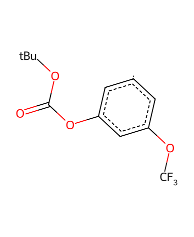 CC(C)(C)OC(=O)Oc1c[c]cc(OC(F)(F)F)c1